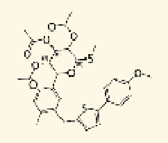 COc1ccc(-c2ccc(Cc3cc(C4O[C@H](SC)C(OC(C)=O)[C@H](OC(C)=O)[C@H]4OC(C)=O)ccc3C)s2)cc1